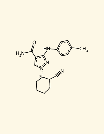 Cc1ccc(Nc2nn([C@H]3CCCCC3C#N)cc2C(N)=O)cc1